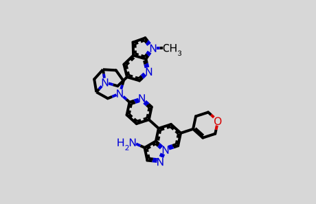 Cn1ccc2cc(CN3C4CCN(c5ccc(-c6cc(C7=CCOCC7)cn7ncc(N)c67)cn5)CC3C4)cnc21